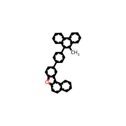 Cc1c(-c2ccc(-c3ccc4oc5ccc6ccccc6c5c4c3)cc2)c2ccccc2c2ccccc12